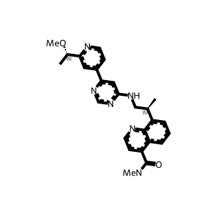 CNC(=O)c1ccnc2c([C@H](C)CNc3cc(-c4ccnc([C@H](C)OC)c4)ncn3)cccc12